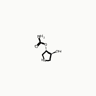 NC(=O)O[C@H]1CNC[C@@H]1O